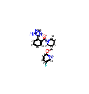 C[C@@H]1CC[C@@H](COc2ccc(F)cn2)CN1C(=O)c1ccccc1-c1ncn[nH]1